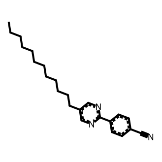 CCCCCCCCCCCCc1cnc(-c2ccc(C#N)cc2)nc1